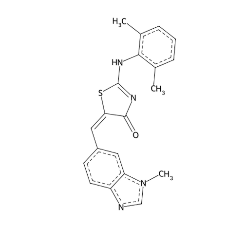 Cc1cccc(C)c1NC1=NC(=O)C(=Cc2ccc3ncn(C)c3c2)S1